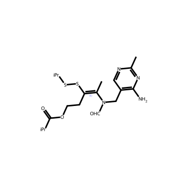 C/C(=C(/CCOC(=O)C(C)C)SSC(C)C)N(C=O)Cc1cnc(C)nc1N